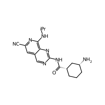 CC(C)Nc1nc(C#N)cc2cnc(NC(=O)[C@H]3CCC[C@@H](N)C3)nc12